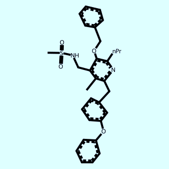 CCCc1nc(Cc2cccc(Oc3ccccc3)c2)c(C)c(CNS(C)(=O)=O)c1OCc1ccccc1